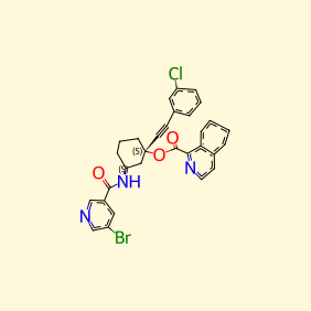 O=C(N[C@H]1CCC[C@](C#Cc2cccc(Cl)c2)(OC(=O)c2nccc3ccccc23)C1)c1cncc(Br)c1